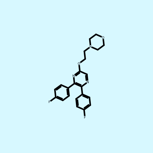 Fc1ccc(-c2ncc(OCCN3CCOCC3)nc2-c2ccc(F)cc2)cc1